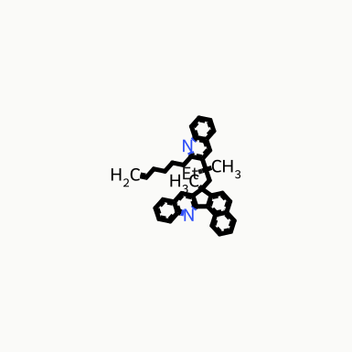 C=CCCCCc1nc2ccccc2cc1C(C)(CC)CC1(C)c2cc3ccccc3nc2-c2c1ccc1ccccc21